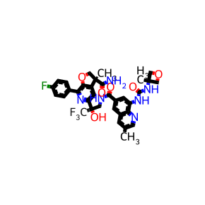 Cc1cnc2c(NC(=O)NC3(C)COC3)cc(C(=O)NCC(O)(c3cc4c(c(-c5ccc(F)cc5)n3)OC[C@]4(C)C(N)=O)C(F)(F)F)cc2c1